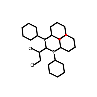 ClCC(Cl)C(P(C1CCCCC1)C1CCCCC1)P(C1CCCCC1)C1CCCCC1